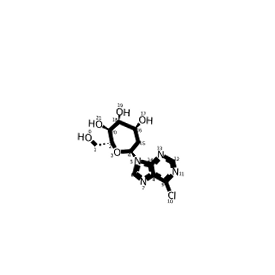 OC[C@H]1O[C@H](n2cnc3c(Cl)ncnc32)C[C@H](O)[C@@H](O)[C@@H]1O